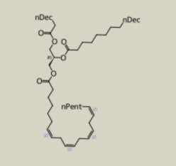 CCCCC/C=C\C/C=C\C/C=C\C/C=C\CCCCCC(=O)OC[C@@H](COC(=O)CCCCCCCCCCC)OC(=O)CCCCCCCCCCCCCCCCC